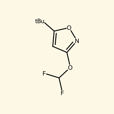 CC(C)(C)c1cc(OC(F)F)no1